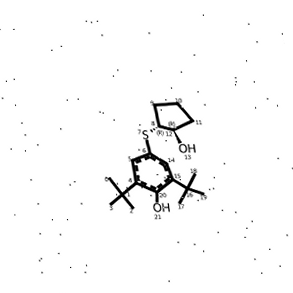 CC(C)(C)c1cc(S[C@@H]2CCC[C@H]2O)cc(C(C)(C)C)c1O